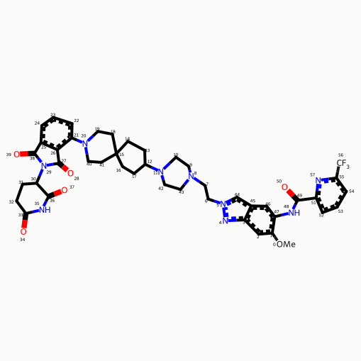 COc1cc2nn(CCN3CCN(C4CCC5(CC4)CCN(c4cccc6c4C(=O)N(C4CCC(=O)NC4=O)C6=O)CC5)CC3)cc2cc1NC(=O)c1cccc(C(F)(F)F)n1